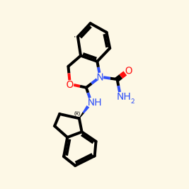 NC(=O)N1c2ccc[c]c2COC1N[C@@H]1CCc2ccccc21